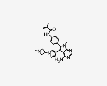 C=C(C)C(=O)Nc1ccc(-c2c(-c3cnn(C4CN(C)C4)c3)c3c(N)ncnc3n2C)cc1